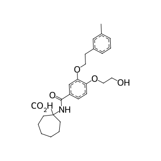 Cc1cccc(CCOc2cc(C(=O)NC3(C(=O)O)CCCCCC3)ccc2OCCO)c1